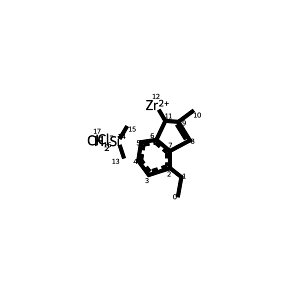 CCc1cccc2c1C=C(C)[CH]2[Zr+2].C[SiH2]C.[Cl-].[Cl-]